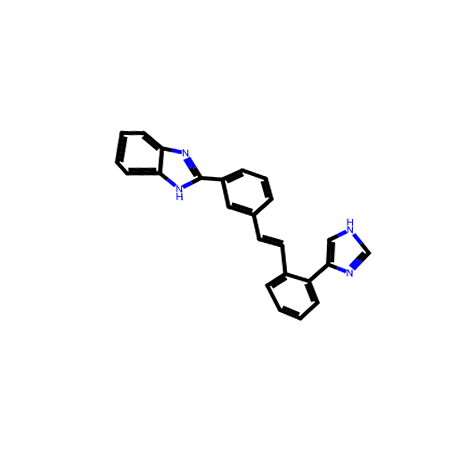 C(=C\c1ccccc1-c1c[nH]cn1)/c1cccc(-c2nc3ccccc3[nH]2)c1